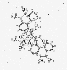 CCC(C)C1=Cc2c(-c3ccccc3C(C)CC)cccc2[CH]1[Hf]([Cl])([Cl])([CH]1C(C(C)CC)=Cc2c(-c3ccccc3C(C)CC)cccc21)[SiH](C)C